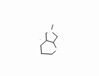 [CH2-][NH+]1C[C@@H]2CCCN[C@@H]2C1